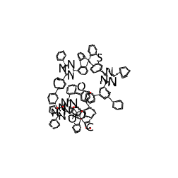 c1ccc(-c2cc(-c3ccccc3)cc(-c3nc(-c4ccccc4)nc(-c4ccc5c(c4)Sc4ccccc4C54c5ccccc5-c5c(-c6nc(-c7ccccc7)nc(-c7ccc(-c8cccc(-c9nc(-c%10ccccc%10)nc(-c%10cccc%11c%10Oc%10ccccc%10C%11%10c%11ccccc%11-c%11ccc(-c%12ccc%13oc%14cccc(-c%15nc(-c%16ccccc%16)nc(-c%16ccccc%16)n%15)c%14c%13c%12)cc%11%10)n9)c8)cc7)n6)cccc54)n3)c2)cc1